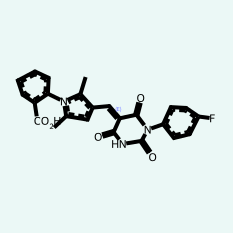 Cc1cc(/C=C2\C(=O)NC(=O)N(c3ccc(F)cc3)C2=O)c(C)n1-c1ccccc1C(=O)O